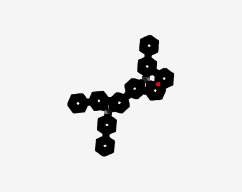 c1ccc(-c2ccc(-n3c4ccc(-c5ccc6c(c5)c5ccccc5n6-c5ccc(-c6ccccc6)cc5-c5ccccc5)cc4c4ccc(-c5ccccc5)cc43)cc2)cc1